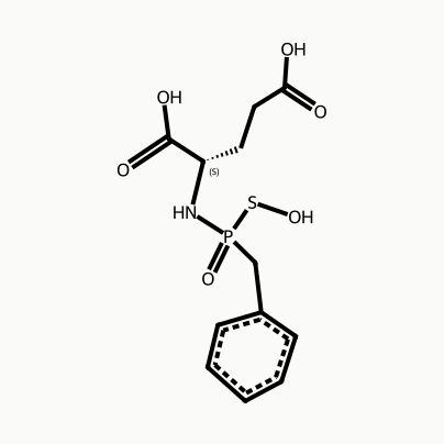 O=C(O)CC[C@H](NP(=O)(Cc1ccccc1)SO)C(=O)O